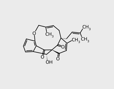 CC(C)=CC[C@]12C/C=C(\C)COc3cccc4c3C(=O)[C@](C(=O)C=C1C)(C2=O)[C@@H]4O